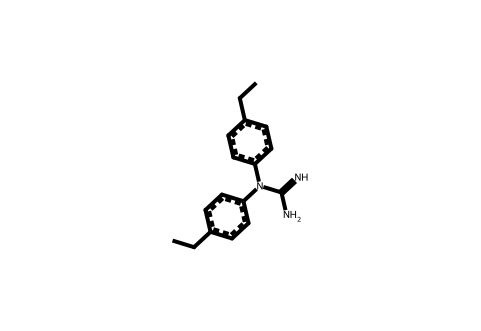 CCc1ccc(N(C(=N)N)c2ccc(CC)cc2)cc1